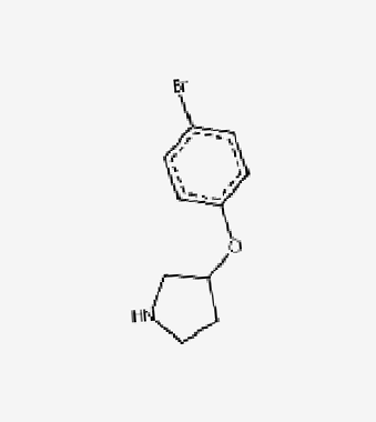 Brc1ccc(OC2CCNC2)cc1